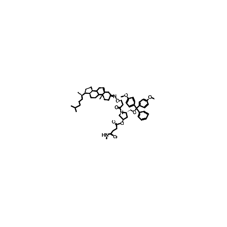 CNC(=O)CCC(=O)O[C@@H]1C[C@@H](COC(c2ccccc2)(c2ccc(OC)cc2)c2ccc(OC)cc2)N(C(=O)CCO/N=C2\CC[C@@]3(C)C(=CCC4C5CC[C@H]([C@H](C)CCCC(C)C)C5CCC43)C2)C1